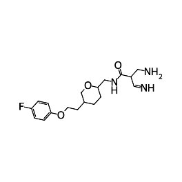 N=CC(CN)C(=O)NCC1CCC(CCOc2ccc(F)cc2)CO1